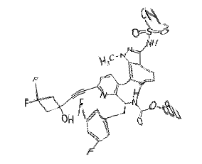 Cn1nc(NS(C)(=O)=O)c2cccc(-c3ccc(C#CC4(O)CC(F)(F)C4)nc3[C@H](Cc3cc(F)cc(F)c3)NC(=O)OC(C)(C)C)c21